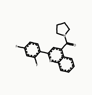 O=C(c1cc(-c2ccc(F)cc2F)nc2ccccc12)N1CCCC1